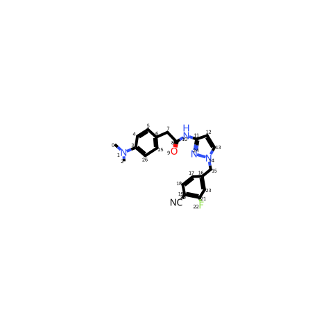 CN(C)c1ccc(CC(=O)Nc2ccn(Cc3ccc(C#N)c(F)c3)n2)cc1